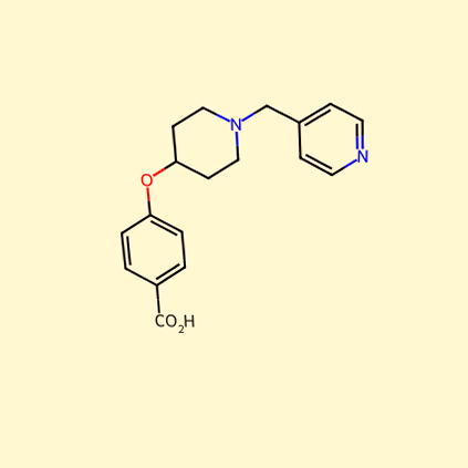 O=C(O)c1ccc(OC2CCN(Cc3ccncc3)CC2)cc1